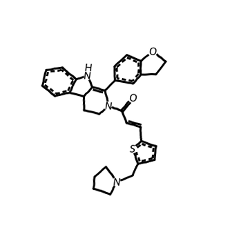 O=C(/C=C/c1ccc(CN2CCCC2)s1)N1CCC2C(=C1c1ccc3c(c1)CCO3)Nc1ccccc12